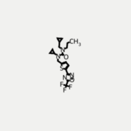 CCCN(CC1CC1)C(=O)N(Cc1ccc(-c2noc(C(F)(F)F)n2)s1)C1CC1